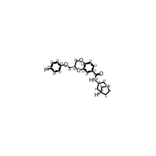 O=C(N[C@@H]1C[C@@H]2CCN(C2)C1)c1ccc2c(c1)O[C@@H](COc1ccc(F)cc1)CO2